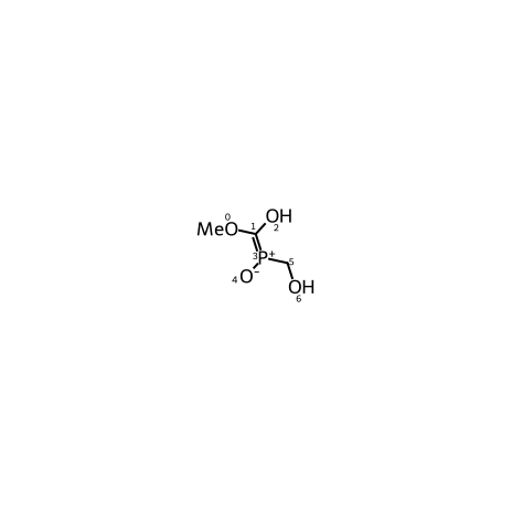 CO/C(O)=[P+](\[O-])CO